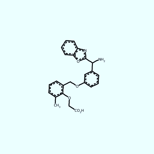 Cc1cccc(COc2cccc(C(N)c3nc4ccccc4o3)c2)c1OCC(=O)O